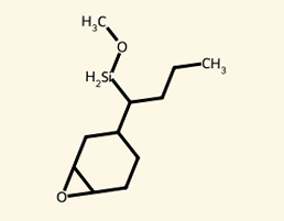 CCCC([SiH2]OC)C1CCC2OC2C1